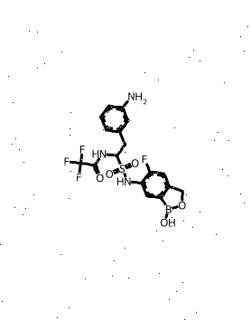 Nc1cccc(CC(NC(=O)C(F)(F)F)S(=O)(=O)Nc2cc3c(cc2F)COB3O)c1